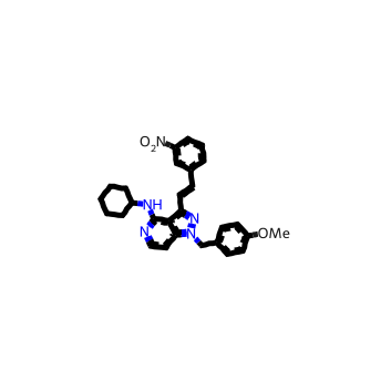 COc1ccc(Cn2nc(/C=C/c3cccc([N+](=O)[O-])c3)c3c(NC4CCCCC4)nccc32)cc1